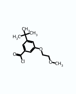 COCCOc1cc(C(=O)Cl)cc(C(C)(C)C)c1